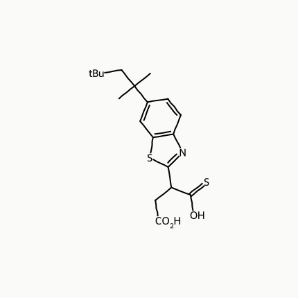 CC(C)(C)CC(C)(C)c1ccc2nc(C(CC(=O)O)C(O)=S)sc2c1